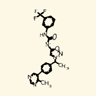 Cc1ncncc1-c1ccc(C(C)[n+]2cc([N-]C(=O)Nc3cccc(C(F)(F)F)c3)on2)cc1